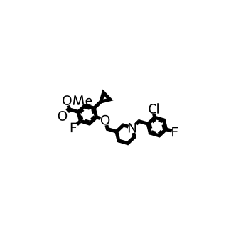 COC(=O)c1cc(C2CC2)c(OCC2CCCN(Cc3ccc(F)cc3Cl)C2)cc1F